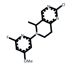 COc1cc(F)nc(N2CCc3nc(Cl)ncc3C2C)c1